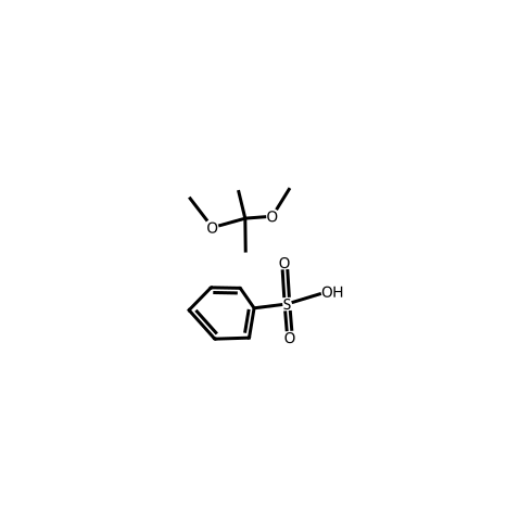 COC(C)(C)OC.O=S(=O)(O)c1ccccc1